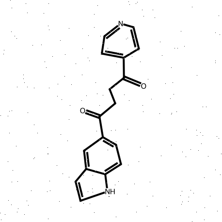 O=C(CCC(=O)c1ccc2[nH]ccc2c1)c1ccncc1